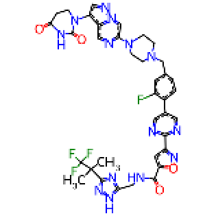 CC(C)(c1n[nH]c(CNC(=O)c2cc(-c3ncc(-c4ccc(CN5CCN(c6cn7ncc(N8CCC(=O)NC8=O)c7cn6)CC5)cc4F)cn3)no2)n1)C(F)(F)F